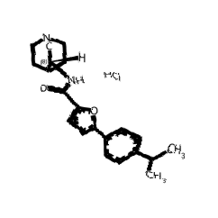 CC(C)c1ccc(-c2ccc(C(=O)N[C@H]3CN4CCC3CC4)o2)cc1.Cl